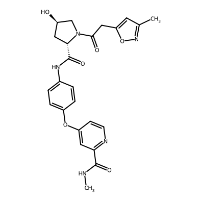 CNC(=O)c1cc(Oc2ccc(NC(=O)[C@@H]3C[C@@H](O)CN3C(=O)Cc3cc(C)no3)cc2)ccn1